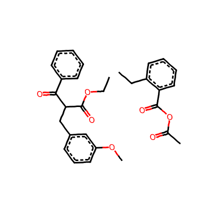 CCOC(=O)C(Cc1cccc(OC)c1)C(=O)c1ccccc1.CCc1ccccc1C(=O)OC(C)=O